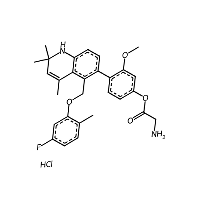 COc1cc(OC(=O)CN)ccc1-c1ccc2c(c1COc1cc(F)ccc1C)C(C)=CC(C)(C)N2.Cl